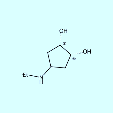 C[CH]NC1C[C@@H](O)[C@@H](O)C1